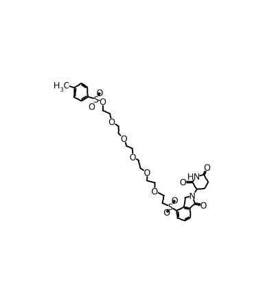 Cc1ccc(S(=O)(=O)OCCOCCOCCOCCOCCOCCS(=O)(=O)c2cccc3c2CN(C2CCC(=O)NC2=O)C3=O)cc1